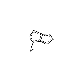 CC(C)c1occ2cnoc12